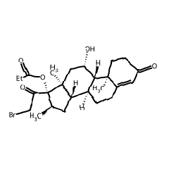 CCC(=O)O[C@@]1(C(=O)CBr)[C@H](C)C[C@H]2[C@@H]3CCC4=CC(=O)CC[C@]4(C)[C@H]3[C@@H](O)C[C@@]21C